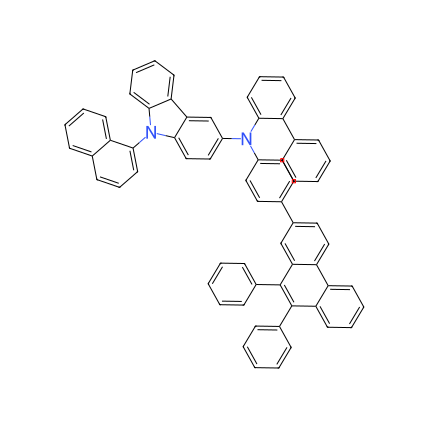 c1ccc(-c2ccccc2N(c2ccc(-c3ccc4c(c3)c(-c3ccccc3)c(-c3ccccc3)c3ccccc34)cc2)c2ccc3c(c2)c2ccccc2n3-c2cccc3ccccc23)cc1